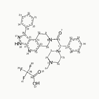 CN1CCN(C(C(=O)N2CCc3c(cnc4[nH]nc(-c5ccccc5)c34)C2)c2ccccc2)CC1.O=C(O)C(F)(F)F